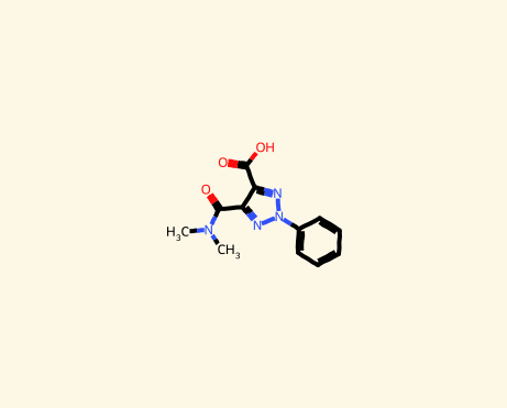 CN(C)C(=O)c1nn(-c2ccccc2)nc1C(=O)O